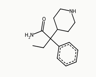 CCC(C(N)=O)(c1ccccc1)C1CCNCC1